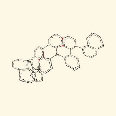 c1ccc(-c2cccc3ccccc23)c(-c2ccccc2N(c2ccc(-c3cccc4ccccc34)cc2)c2ccccc2-c2ccc3sc4ccccc4c3c2)c1